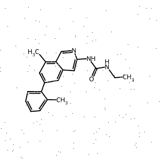 CCNC(=O)Nc1cc2cc(-c3ccccc3C)cc(C)c2cn1